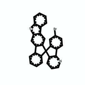 Brc1ccc2c(c1)C1(c3ccccc3-c3cc4sc5ccccc5c4cc31)c1cccnc1-2